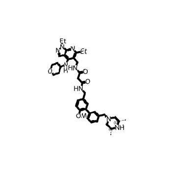 CCc1nc2c(cnn2CC)c(NC2CCOCC2)c1CNC(=O)CC(=O)NCc1ccc(OC)c(-c2cccc(CN3C[C@@H](C)N[C@@H](C)C3)c2)c1